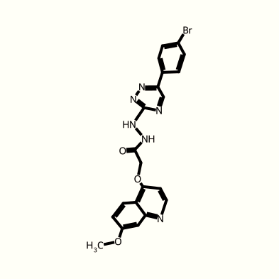 COc1ccc2c(OCC(=O)NNc3ncc(-c4ccc(Br)cc4)nn3)ccnc2c1